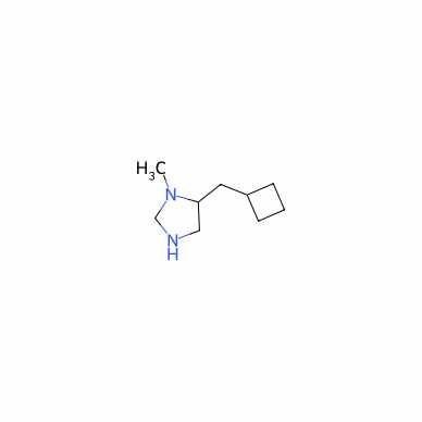 CN1CNCC1CC1CCC1